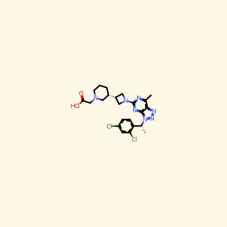 Cc1nc(N2CC([C@H]3CCCN(CC(=O)O)C3)C2)nc2c1nnn2[C@H](C)c1ccc(Cl)cc1Cl